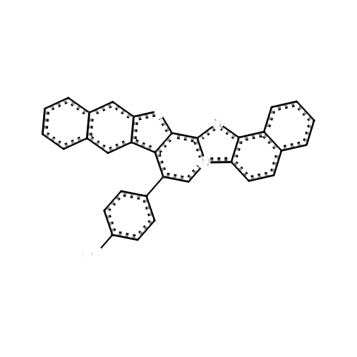 Oc1ccc(-c2cn3c4ccc5ccccc5c4nc3c3sc4cc5ccccc5cc4c23)cc1